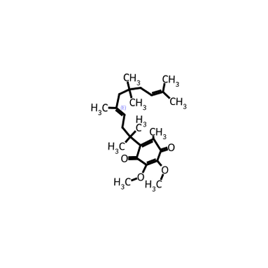 COC1=C(OC)C(=O)C(C(C)(C)C/C=C(\C)CC(C)(C)CC=C(C)C)=C(C)C1=O